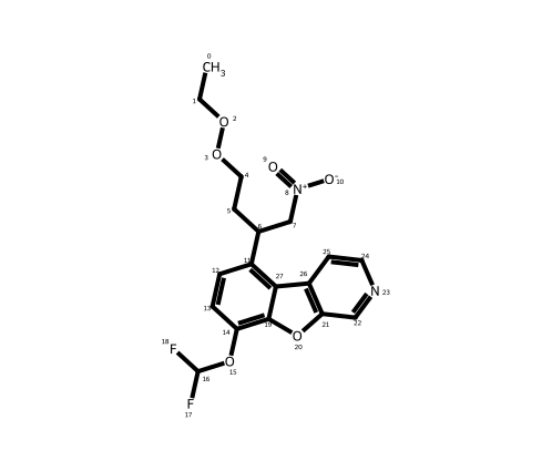 CCOOCCC(C[N+](=O)[O-])c1ccc(OC(F)F)c2oc3cnccc3c12